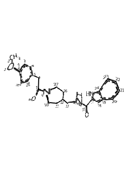 COc1ccc(CC(=O)N2CCC(CNC(=O)c3cc4ccccc4[nH]3)CC2)cc1